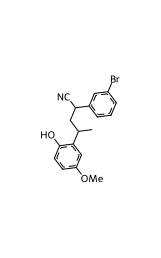 COc1ccc(O)c(C(C)CC(C#N)c2cccc(Br)c2)c1